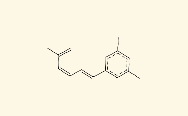 C=C(C)/C=C\C=C\c1cc(C)cc(C)c1